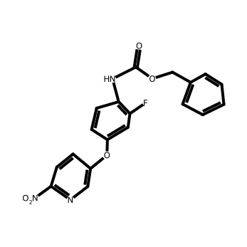 O=C(Nc1ccc(Oc2ccc([N+](=O)[O-])nc2)cc1F)OCc1ccccc1